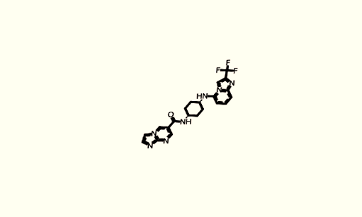 O=C(N[C@H]1CC[C@@H](Nc2cccc3nc(C(F)(F)F)cn23)CC1)c1cnc2nccn2c1